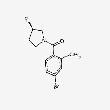 Cc1cc(Br)ccc1C(=O)N1CC[C@@H](F)C1